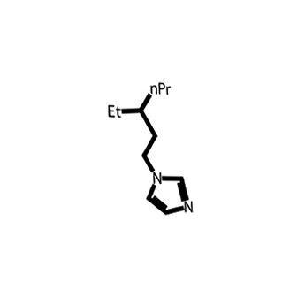 CCCC(CC)CCn1ccnc1